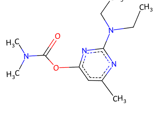 CCN(CC)c1nc(C)cc(OC(=O)N(C)C)n1